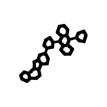 c1ccc(-c2c3ccccc3c(-c3cccc(-c4ccc5c(c4)oc4c6ccccc6ccc54)c3)c3ccccc23)cc1